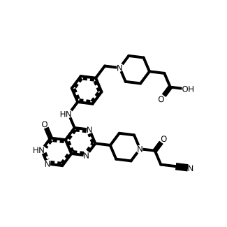 N#CCC(=O)N1CCC(c2nc(Nc3ccc(CN4CCC(CC(=O)O)CC4)cc3)c3c(=O)[nH]ncc3n2)CC1